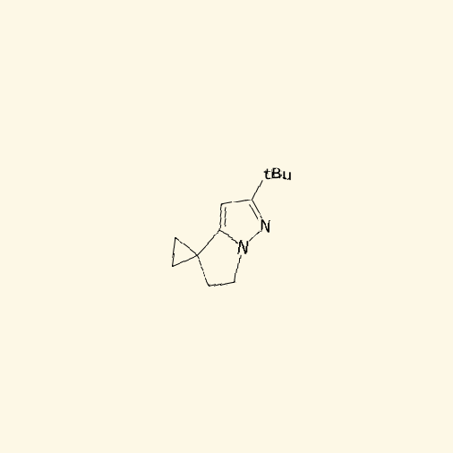 CC(C)(C)c1cc2n(n1)CCC21CC1